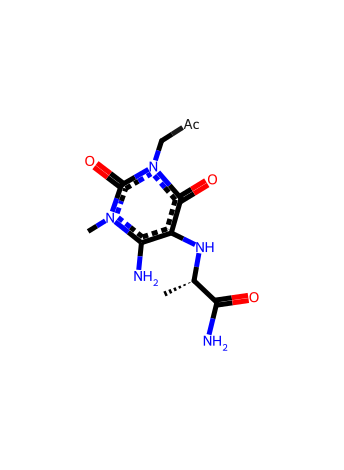 CC(=O)Cn1c(=O)c(N[C@@H](C)C(N)=O)c(N)n(C)c1=O